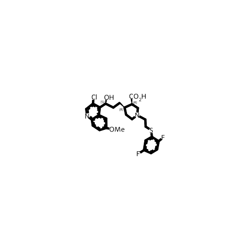 COc1ccc2ncc(Cl)c([C@@H](O)CC[C@@H]3CCN(CCSc4cc(F)ccc4F)C[C@@H]3C(=O)O)c2c1